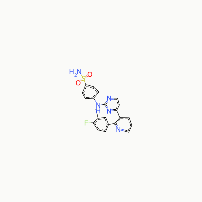 Cc1cc(-c2ncccc2-c2ccnc(Nc3ccc(S(N)(=O)=O)cc3)n2)ccc1F